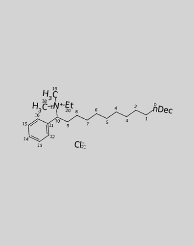 CCCCCCCCCCCCCCCCCCCC(c1ccccc1)[N+](C)(C)CC.[Cl-]